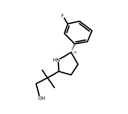 CC(C)(CO)C1CC[C@@H](c2cccc(F)c2)N1